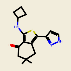 CC1(C)CC(=O)c2c(NC3CCC3)sc(-c3cc[nH]n3)c2C1